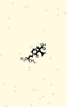 CC(C)CCN1CCn2nc(C(=O)O)c(C3CC3)c2C1=O